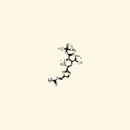 CC(=O)OCC1CSC([C@H](O)C[C@H](C(C)C)N(C)C(=O)OC(C)(C)C)=N1